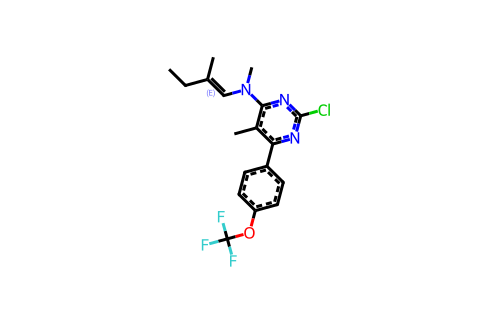 CC/C(C)=C/N(C)c1nc(Cl)nc(-c2ccc(OC(F)(F)F)cc2)c1C